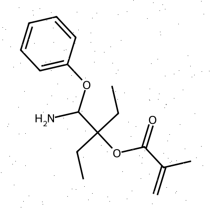 C=C(C)C(=O)OC(CC)(CC)C(N)Oc1ccccc1